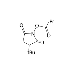 CC(C)C(=O)ON1C(=O)CC(C(C)(C)C)C1=O